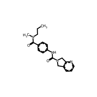 CCCN(C)C(=O)c1ccc(NC(=O)N2Cc3cccnc3C2)cc1